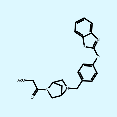 CC(=O)OCC(=O)N1CC2CC1CN2Cc1ccc(Oc2nc3ccccc3s2)cc1